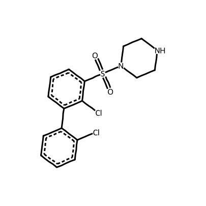 O=S(=O)(c1cccc(-c2ccccc2Cl)c1Cl)N1CCNCC1